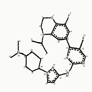 CC(C)N1CCOc2c(F)cc(-c3nc(Nc4ccn(C5CCC(N(C)C)CC5)n4)ncc3F)cc21